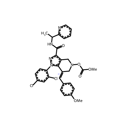 COC(=O)ON1C/C(=C\c2ccc(OC)cc2)c2c(c(C(=O)NC(C)c3ccccn3)nn2-c2ccc(Cl)cc2Cl)C1